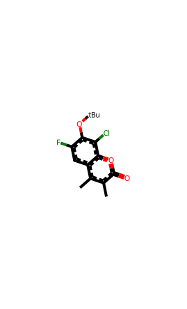 Cc1c(C)c2cc(F)c(OC(C)(C)C)c(Cl)c2oc1=O